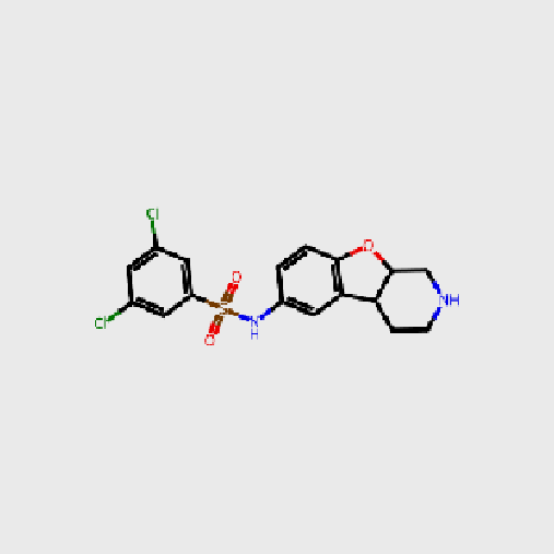 O=S(=O)(Nc1ccc2c(c1)C1CCNCC1O2)c1cc(Cl)cc(Cl)c1